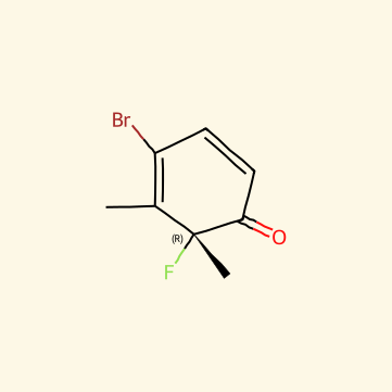 CC1=C(Br)C=CC(=O)[C@]1(C)F